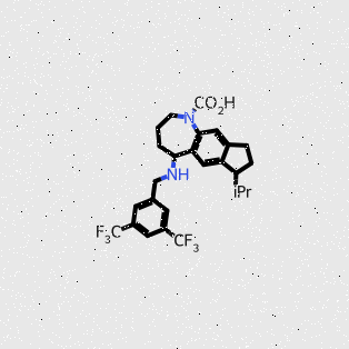 CC(C)C1CCc2cc3c(cc21)C(NCc1cc(C(F)(F)F)cc(C(F)(F)F)c1)CCCN3C(=O)O